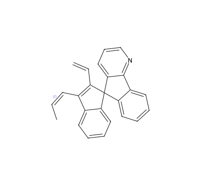 C=CC1=C(/C=C\C)c2ccccc2C12c1ccccc1-c1ncccc12